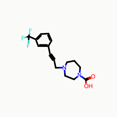 O=C(O)N1CCCN(CC#Cc2cccc(C(F)(F)F)c2)CC1